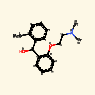 COc1ccccc1C(O)c1ccccc1OCCN(C(C)C)C(C)C